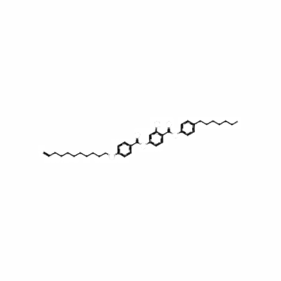 C=CCCCCCCCCCOc1ccc(C(=O)Oc2ccc(C(=O)Oc3ccc(CCCCCCC)cc3)c(Cl)c2)cc1